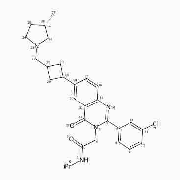 CC(C)NC(=O)Cn1c(-c2cccc(Cl)c2)nc2ccc(C3CC(CN4CC[C@H](C)C4)C3)cc2c1=O